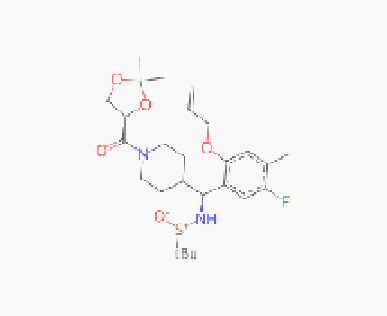 C=CCOc1cc(C)c(F)cc1[C@@H](N[S+]([O-])C(C)(C)C)C1CCN(C(=O)[C@H]2COC(C)(C)O2)CC1